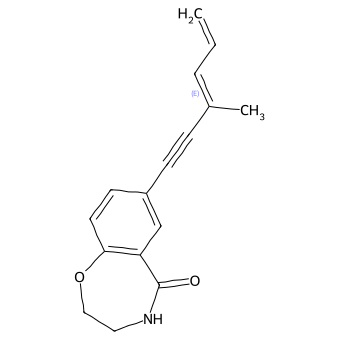 C=C/C=C(\C)C#Cc1ccc2c(c1)C(=O)NCCO2